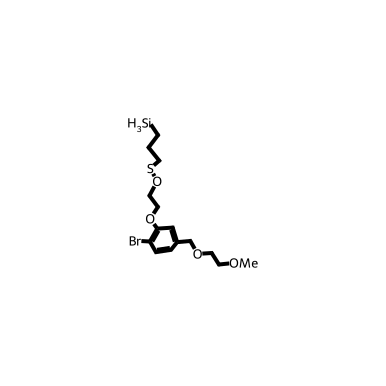 COCCOCc1ccc(Br)c(OCCOSCCC[SiH3])c1